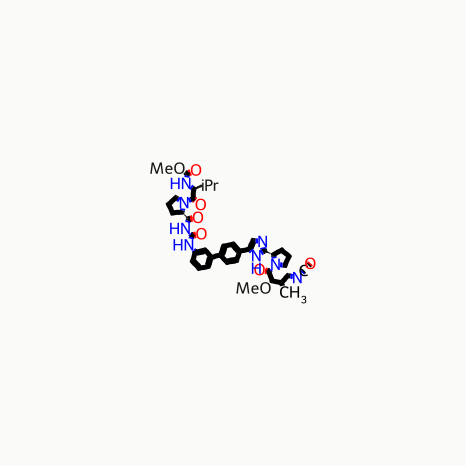 COC(=O)N[C@H](C(=O)N1CCC[C@H]1C(=O)NC(=O)Nc1cccc(-c2ccc(-c3cnc([C@@H]4CCCN4C(=O)[C@@H](OC)C(C)CN=C=O)[nH]3)cc2)c1)C(C)C